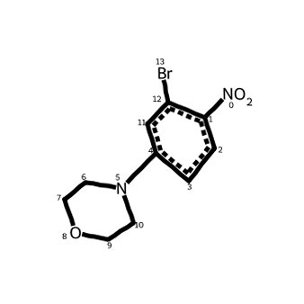 O=[N+]([O-])c1ccc(N2CCOCC2)cc1Br